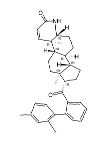 Cc1ccc(-c2ccccc2C(=O)[C@H]2CC[C@H]3[C@@H]4CC[C@H]5NC(=O)C=C[C@]5(C)[C@H]4CC[C@]23C)c(C)c1